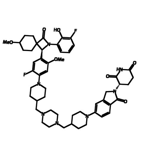 COc1cc(N2CCC(CN3CCN(CC4CCN(c5ccc6c(c5)CN([C@H]5CCC(=O)NC5=O)C6=O)CC4)CC3)CC2)c(F)cc1[C@@H]1N(c2cccc(F)c2O)C(=O)C12CCC(OC)CC2